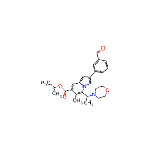 Cc1c(C(=O)OC(C)C)cc2cc(-c3cccc(C=O)c3)cn2c1C(C)N1CCOCC1